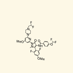 COc1cc(N2CCN(CC(F)F)CC2)nc(-n2c(=O)c(NC(=O)c3ccc(OC(F)F)cc3)c(-c3c(F)cc(OC)cc3F)n2C)c1